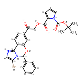 CC(C)(C)OC(=O)n1cccc1C(=O)OCC(=O)c1ccc2c(c1)O[C@@H](c1ccccc1)n1c(Br)cnc1-2